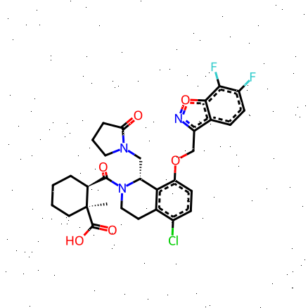 C[C@]1(C(=O)O)CCCC[C@H]1C(=O)N1CCc2c(Cl)ccc(OCc3noc4c(F)c(F)ccc34)c2[C@H]1CN1CCCC1=O